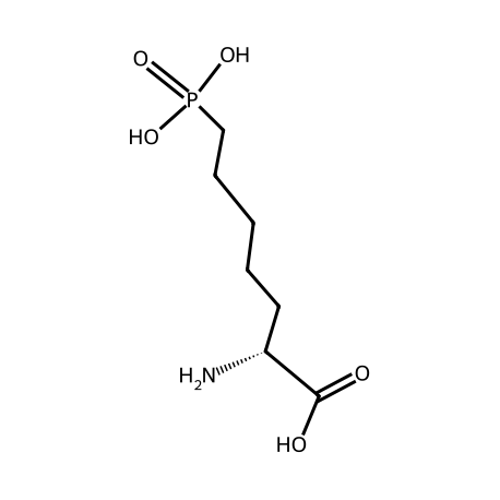 N[C@H](CCCCCP(=O)(O)O)C(=O)O